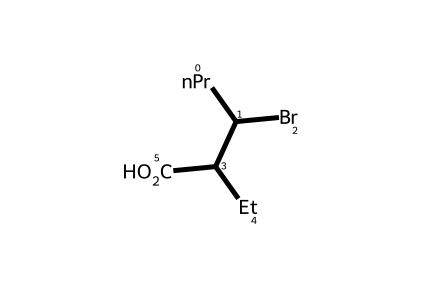 CCCC(Br)C(CC)C(=O)O